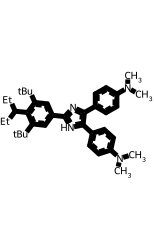 CCC(CC)c1c(C(C)(C)C)cc(-c2nc(-c3ccc(N(C)C)cc3)c(-c3ccc(N(C)C)cc3)[nH]2)cc1C(C)(C)C